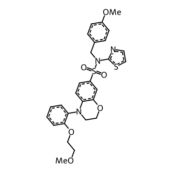 COCCOc1ccccc1N1CCOc2cc(S(=O)(=O)N(Cc3ccc(OC)cc3)c3nccs3)ccc21